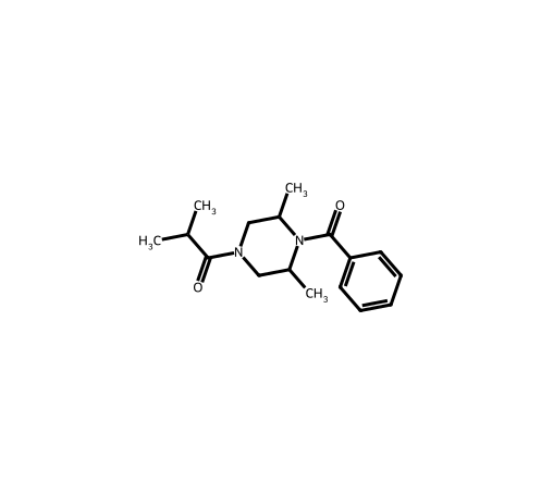 CC(C)C(=O)N1CC(C)N(C(=O)c2ccccc2)C(C)C1